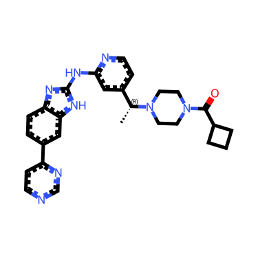 C[C@H](c1ccnc(Nc2nc3ccc(-c4ccncn4)cc3[nH]2)c1)N1CCN(C(=O)C2CCC2)CC1